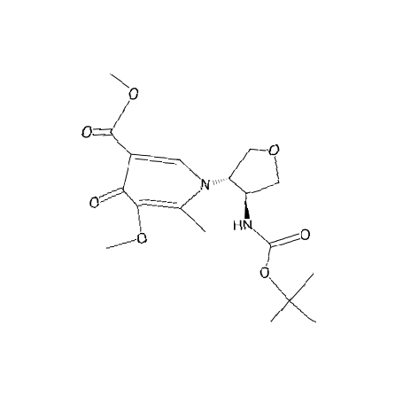 COC(=O)c1cn([C@@H]2COC[C@H]2NC(=O)OC(C)(C)C)c(C)c(OC)c1=O